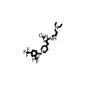 CCN(CC)C/C=C\CNC1=NC(=O)S/C1=C\C1CCN(Cc2ccc(C(F)(F)F)cc2C(F)(F)F)CC1